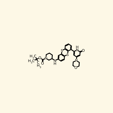 CC(C)(C)OC(=O)N1CCCC(Nc2ccc3c(c2)Sc2cccc(-c4cc(N5CCOCC5)cc(=O)[nH]4)c2S3)C1